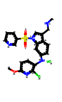 CNCc1cn(S(=O)(=O)c2cccnc2)c2cc(Nc3ccc(OC)nc3Cl)ccc12.Cl